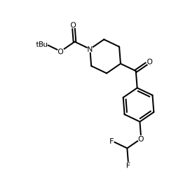 CC(C)(C)OC(=O)N1CCC(C(=O)c2ccc(OC(F)F)cc2)CC1